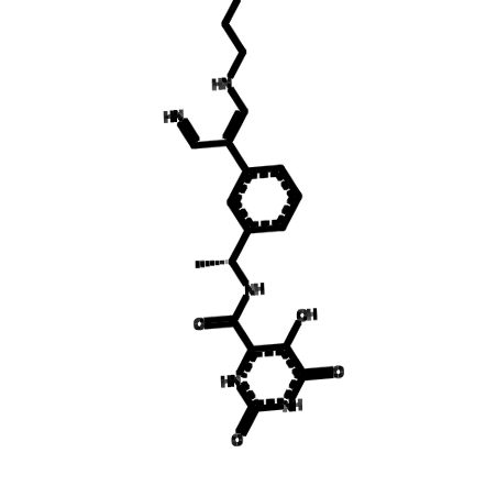 CCCN/C=C(\C=N)c1cccc([C@@H](C)NC(=O)c2[nH]c(=O)[nH]c(=O)c2O)c1